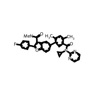 CNC(=O)c1c(-c2ccc(F)cc2)oc2ccc(-c3cc(C(=O)N(c4ncccn4)C4CC4)c(C)cc3C)cc12